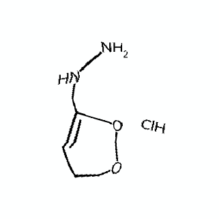 Cl.NNC1=CCOO1